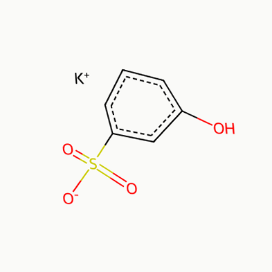 O=S(=O)([O-])c1cccc(O)c1.[K+]